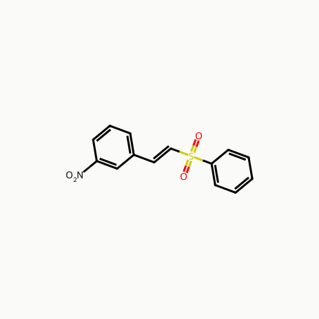 O=[N+]([O-])c1cccc(/C=C/S(=O)(=O)c2ccccc2)c1